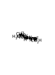 Cc1[nH]c(C(=O)N[C@H]2[C@@H]3CN(c4nc(Cc5ccc(F)c(F)c5)c(C(=O)O)s4)C[C@@H]32)c(Cl)c1Cl